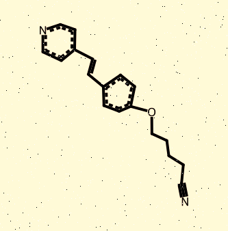 N#CCCCCOc1ccc(C=Cc2ccncc2)cc1